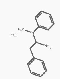 CN(c1ccccc1)C(N)Cc1ccccc1.Cl